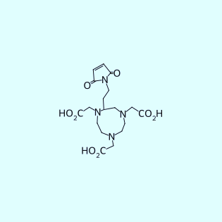 O=C(O)CN1CCN(CC(=O)O)CC(CCN2C(=O)C=CC2=O)N(CC(=O)O)CC1